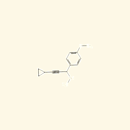 CNC(C#CC1CC1)c1ccc(OC)cc1